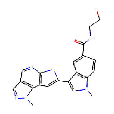 Cn1cc(-c2cc3c(ncc4cnn(C)c43)[nH]2)c2cc(C(=O)NCCO)ccc21